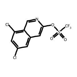 O=S(=O)(Oc1cc2cc(Cl)cc(Cl)c2cn1)C(F)(F)F